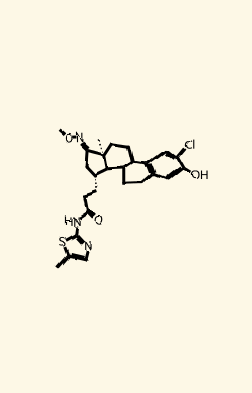 CO/N=C1\C[C@@H](CCC(=O)Nc2ncc(C)s2)C2C3CCc4cc(O)c(Cl)cc4C3CC[C@]12C